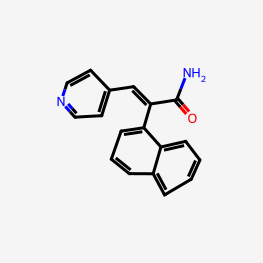 NC(=O)/C(=C/c1ccncc1)c1cccc2ccccc12